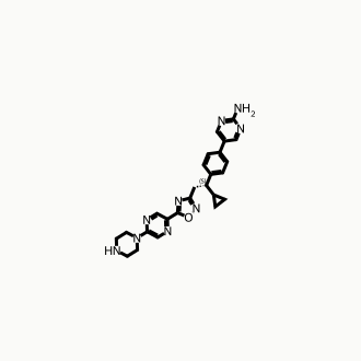 Nc1ncc(-c2ccc([C@@H](Cc3noc(-c4cnc(N5CCNCC5)cn4)n3)C3CC3)cc2)cn1